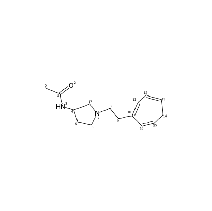 CC(=O)NC1CCN(CCC2=CC=CCC=C2)C1